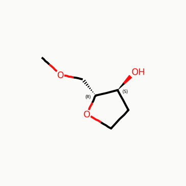 COC[C@H]1OCC[C@@H]1O